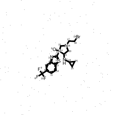 [O-][N+]1(c2nc3cc(C(F)(F)F)ccc3s2)CN(CCBr)CC1NC1CC1